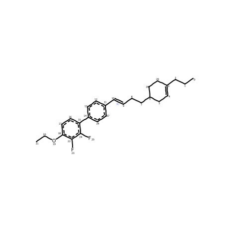 CCCC1=CCC(CC/C=C/c2ccc(-c3ccc(OCC)c(F)c3F)cc2)CC1